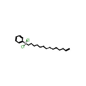 C=CCCCCCCCCCCCC[Si](Cl)(Cl)c1ccccc1